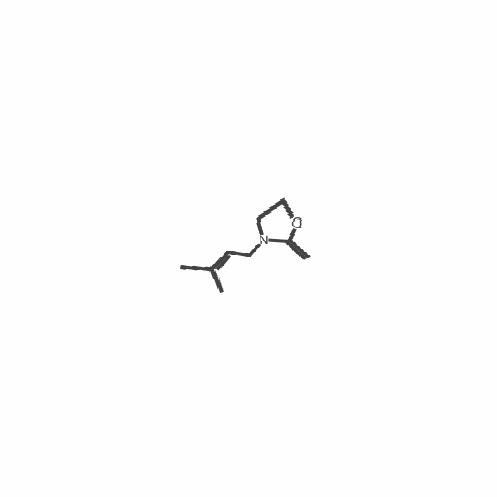 C=C1OCCN1CC=C(C)C